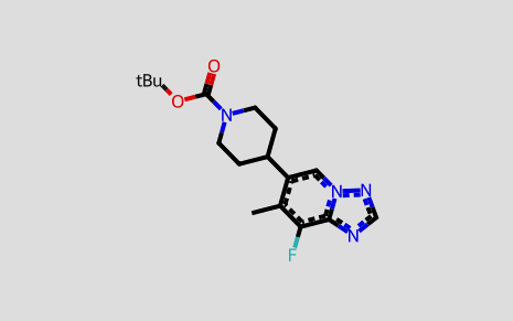 Cc1c(C2CCN(C(=O)OC(C)(C)C)CC2)cn2ncnc2c1F